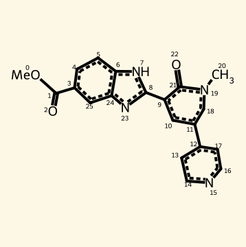 COC(=O)c1ccc2[nH]c(-c3cc(-c4ccncc4)cn(C)c3=O)nc2c1